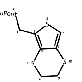 CCCCCCc1scc2c1SCCS2